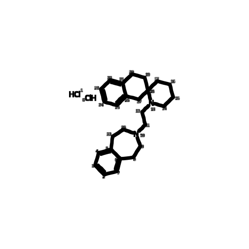 Cl.Cl.c1ccc2c(c1)CCN(CCN1CCCCC13CCc1ccccc1C3)CC2